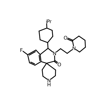 CC(C)C1CCC(C2c3cc(F)ccc3C3(CCNCC3)C(=O)N2CCN2CCCCC2=O)CC1